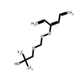 C=C/C=C(\C=C)OOCOCC(O)(C(F)(F)F)C(F)(F)F